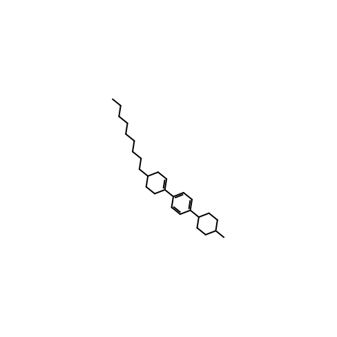 CCCCCCCCCC1CC=C(c2ccc(C3CCC(C)CC3)cc2)CC1